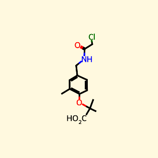 Cc1cc(CNC(=O)CCl)ccc1OC(C)(C)C(=O)O